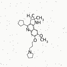 COc1cc2c3c(c(C4CCCC4)nc2cc1OCCCN1CCCC1)CC(C)(C)N3